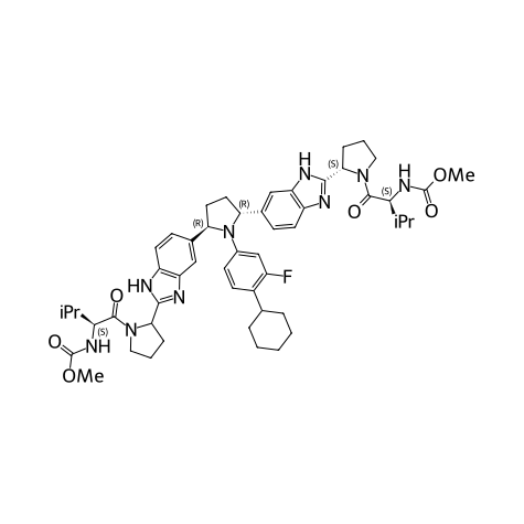 COC(=O)N[C@H](C(=O)N1CCCC1c1nc2cc([C@H]3CC[C@H](c4ccc5nc([C@@H]6CCCN6C(=O)[C@@H](NC(=O)OC)C(C)C)[nH]c5c4)N3c3ccc(C4CCCCC4)c(F)c3)ccc2[nH]1)C(C)C